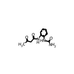 CC(=O)CC(=O)Nc1ccccc1NC(N)=O